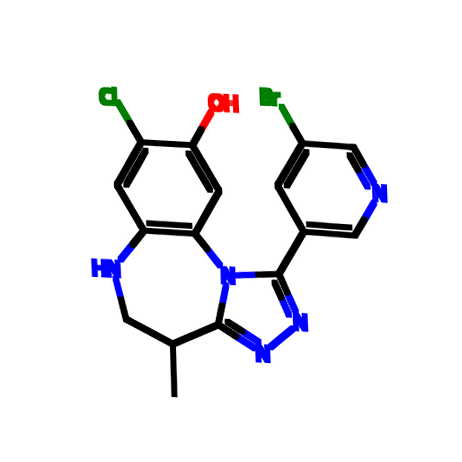 CC1CNc2cc(Cl)c(O)cc2-n2c(-c3cncc(Br)c3)nnc21